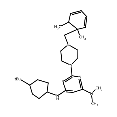 CC1C=CC=CC1(C)CN1CCN(c2nc(NC3CCC(C(C)(C)C)CC3)cc(N(C)C)n2)CC1